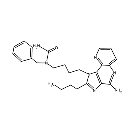 CCCCc1nc2c(N)nc3cccnc3c2n1CCCCN(Cc1ccccc1)C(N)=O